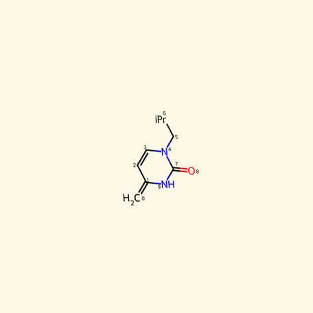 C=C1C=CN(CC(C)C)C(=O)N1